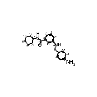 Nc1ccc(CNc2cccc(C(=O)NC3CCCCC3)c2)cc1